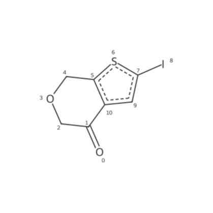 O=C1COCc2sc(I)cc21